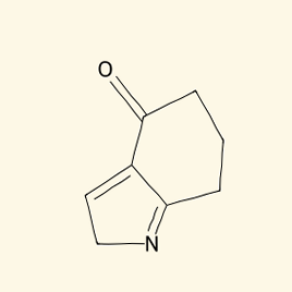 O=C1CCCC2=NCC=C12